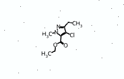 CCOC(=O)c1c(Cl)c(CC)nn1C